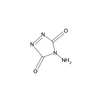 NN1C(=O)N=NC1=O